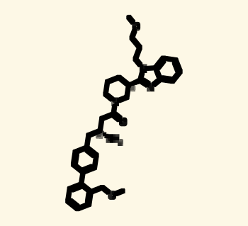 COCCCn1c([C@@H]2CCCN(C(=O)C[C@H](N)Cc3ccc(-c4ccccc4COC)cc3)C2)nc2ccccc21